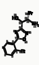 CCc1ccccc1-c1nc(C(O)[C@@H](N)C(C)C)no1